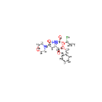 CCCC(F)OC(=O)N[C@H](CC(=O)N1CCOCC1)C(=O)OCc1ccccc1